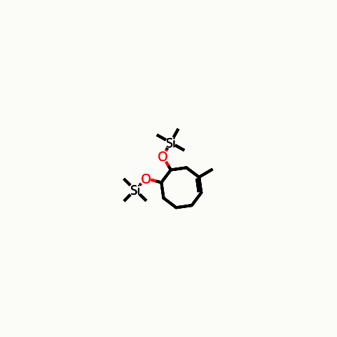 CC1=CCCCC(O[Si](C)(C)C)C(O[Si](C)(C)C)C1